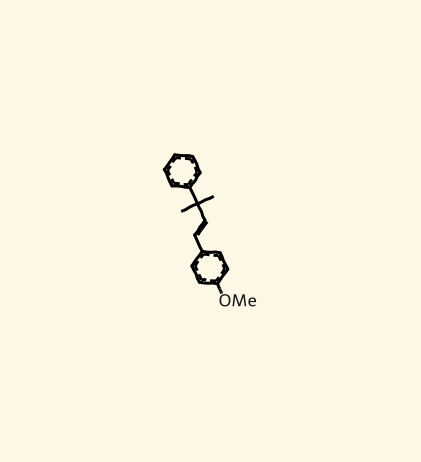 COc1ccc(C=CC(C)(C)c2ccccc2)cc1